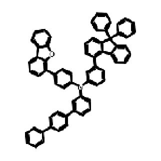 c1ccc(-c2ccc(-c3cccc(N(c4ccc(-c5cccc6c5oc5ccccc56)cc4)c4cccc(-c5cccc6c5-c5ccccc5C6(c5ccccc5)c5ccccc5)c4)c3)cc2)cc1